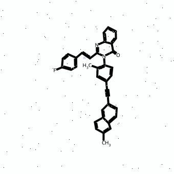 Cc1ccc2cc(C#Cc3ccc(-n4c(/C=C/c5ccc(F)cc5)nc5ccccc5c4=O)c(C)c3)ccc2c1